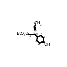 CC#C[C@@H](CC(=O)OCC)C1C=CC(O)=CC1